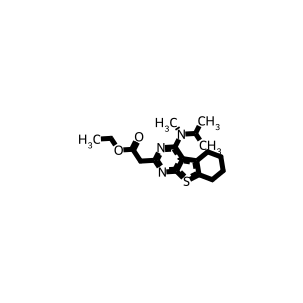 CCOC(=O)Cc1nc(N(C)C(C)C)c2c3c(sc2n1)CCCC3